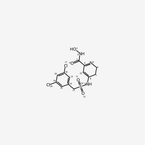 O=C(NO)C1=NCCC(NS(=O)(=O)Cc2cc(Cl)cc(Cl)c2)=C1